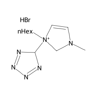 Br.CCCCCC[N+]1(C2N=NN=N2)C=CN(C)C1